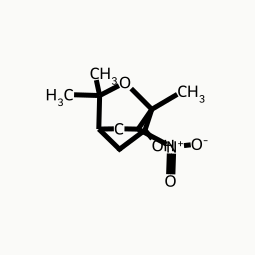 CC1(C)OC2(C)C(O)CC1CC2[N+](=O)[O-]